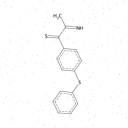 CC(=N)C(=S)c1ccc(Sc2ccccc2)cc1